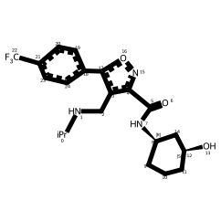 CC(C)NCc1c(C(=O)N[C@@H]2CCC[C@H](O)C2)noc1-c1ccc(C(F)(F)F)cc1